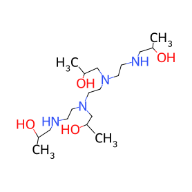 CC(O)CNCCN(CCN(CCNCC(C)O)CC(C)O)CC(C)O